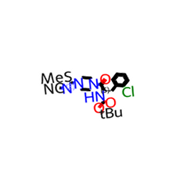 CS/C(=N\C#N)N1CCN(C(=O)[C@H](Cc2ccccc2Cl)NC(=O)OC(C)(C)C)CC1